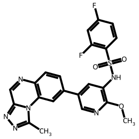 COc1ncc(-c2ccc3ncc4nnc(C)n4c3c2)cc1NS(=O)(=O)c1ccc(F)cc1F